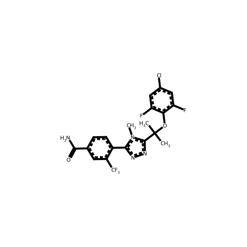 Cn1c(-c2ccc(C(N)=O)cc2C(F)(F)F)nnc1C(C)(C)Oc1c(F)cc(Cl)cc1F